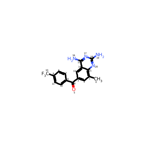 Cc1cc(C(=O)c2ccc(C(F)(F)F)cc2)cc2c(N)nc(N)nc12